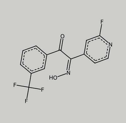 O=C(C(=NO)c1ccnc(F)c1)c1cccc(C(F)(F)F)c1